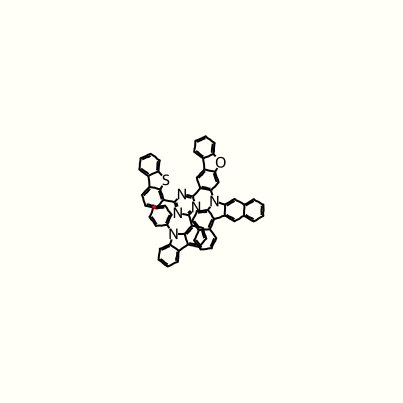 c1ccc(-n2c3ccccc3c3cccc(-c4nc(-c5cc6c(cc5-n5c7cc8ccccc8cc7c7c8ccccc8ccc75)oc5ccccc56)nc(-c5cccc6c5sc5ccccc56)n4)c32)cc1